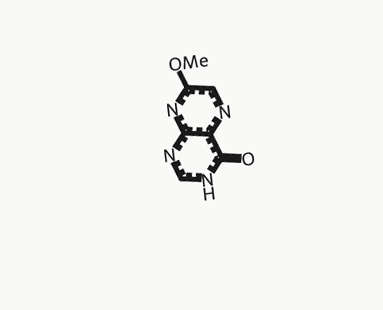 COc1cnc2c(=O)[nH]cnc2n1